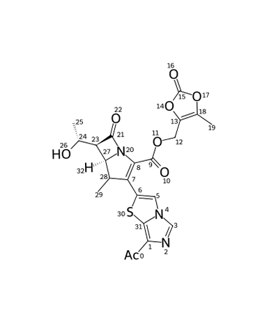 CC(=O)c1ncn2cc(C3=C(C(=O)OCc4oc(=O)oc4C)N4C(=O)[C@H]([C@@H](C)O)[C@@H]4C3C)sc12